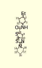 CCc1ccc(NC(=O)c2cc3nc(N4CCCCC4)sc3s2)cc1